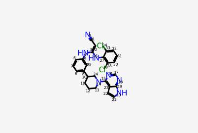 N#C/C=C(\Nc1cccc(C2CCCN(c3ncnc4[nH]ccc34)C2)c1)Nc1c(Cl)cccc1Cl